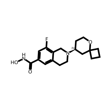 O=C(NO)c1cc(F)c2c(c1)CCN([C@H]1CCOC3(CCC3)C1)C2